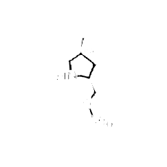 CCCCOC[C@@H]1C[C@H](C)CN1